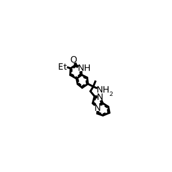 CCc1cc2ccc(C(C)(N)Cc3cn4ccccc4n3)cc2[nH]c1=O